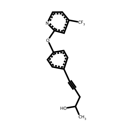 CC(O)CC#Cc1ccc(Oc2cc(C(F)(F)F)ccn2)cc1